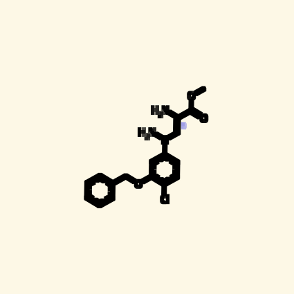 COC(=O)/C(N)=C/N(N)c1ccc(Cl)c(OCc2ccccc2)c1